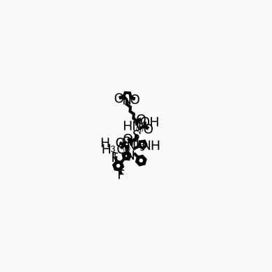 CC(C)(C)[C@H](c1cc(-c2cc(F)ccc2F)cn1Cc1ccccc1)N(CC1CCNC1)C(=O)CSC[C@H](NC(=O)CCCCCN1C(=O)CCC1=O)C(=O)O